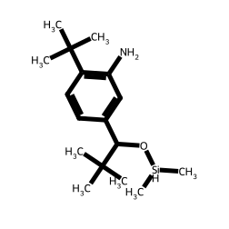 C[SiH](C)OC(c1ccc(C(C)(C)C)c(N)c1)C(C)(C)C